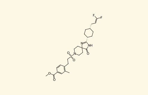 COC(=O)c1ccc(CCS(=O)(=O)N2CCC3(CC2)N=C([C@H]2CC[C@@H](CC=C(F)F)CC2)NC3=O)c(C)c1